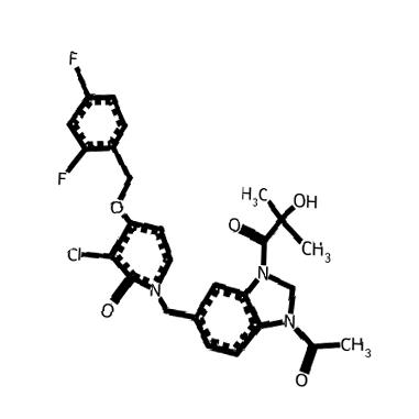 CC(=O)N1CN(C(=O)C(C)(C)O)c2cc(Cn3ccc(OCc4ccc(F)cc4F)c(Cl)c3=O)ccc21